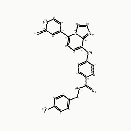 O=C(NCc1ccc(C(F)(F)F)cc1)c1ccc(Nc2ccc(-c3cc[nH]c(=O)c3)n3ccnc23)cc1